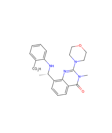 C[C@H](Nc1ccccc1C(=O)O)c1cccc2c(=O)n(C)c(N3CCOCC3)nc12